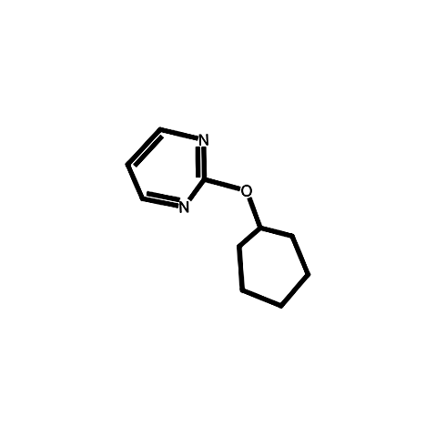 c1cnc(OC2CCCCC2)nc1